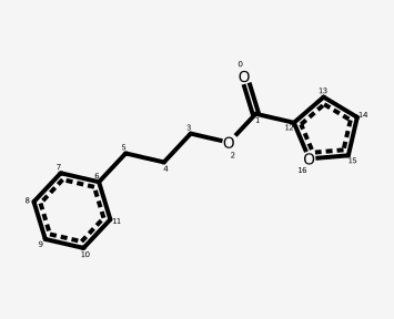 O=C(OCCCc1ccccc1)c1ccco1